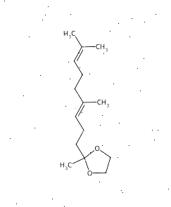 CC(C)=CCC/C(C)=C/CCC1(C)OCCO1